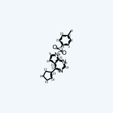 Cc1ccc(S(=O)(=O)n2ccc3c(C4=CCCC4)ncnc32)cc1